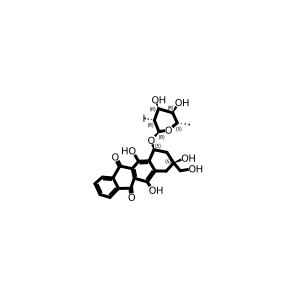 C[C@@H]1O[C@@H](O[C@H]2C[C@](O)(CO)Cc3c(O)c4c(c(O)c32)C(=O)c2ccccc2C4=O)[C@H](I)[C@H](O)[C@H]1O